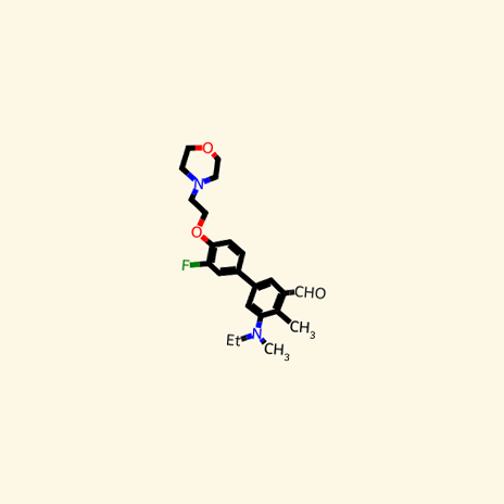 CCN(C)c1cc(-c2ccc(OCCN3CCOCC3)c(F)c2)cc(C=O)c1C